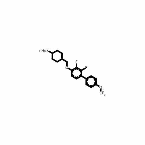 CCCCCCC1CCC(COc2ccc(-c3ccc(OC(F)(F)F)cc3)c(F)c2F)CC1